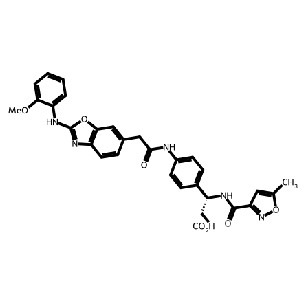 COc1ccccc1Nc1nc2ccc(CC(=O)Nc3ccc([C@@H](CC(=O)O)NC(=O)c4cc(C)on4)cc3)cc2o1